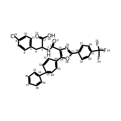 O=C(NC(Cc1ccc(Cl)cc1)C(=O)O)c1nc(-c2ccc(C(F)(F)F)cc2)oc1-c1ccc(-c2ccccc2)cc1